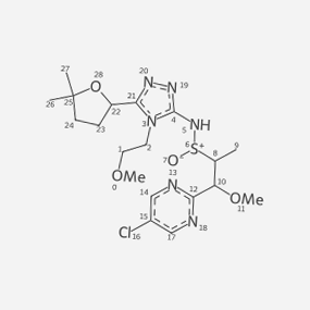 COCCn1c(N[S+]([O-])C(C)C(OC)c2ncc(Cl)cn2)nnc1C1CCC(C)(C)O1